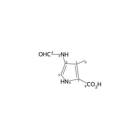 Cc1c(NC=O)c[nH]c1C(=O)O